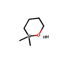 C[Si]1(C)CCCCO1.[HH]